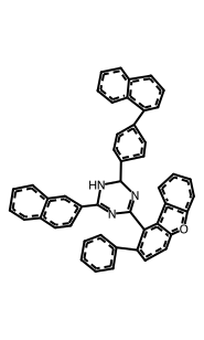 c1ccc(-c2ccc3oc4ccccc4c3c2C2=NC(c3ccc(-c4cccc5ccccc45)cc3)NC(c3ccc4ccccc4c3)=N2)cc1